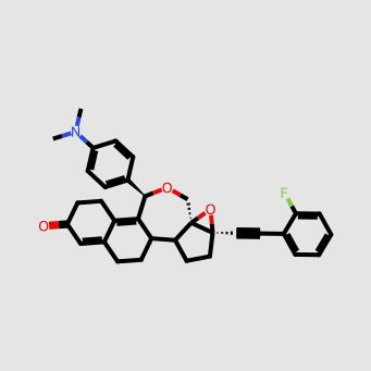 CN(C)c1ccc([C@H]2OC[C@]34O[C@@]3(C#Cc3ccccc3F)CCC4C3CCC4=CC(=O)CCC4=C32)cc1